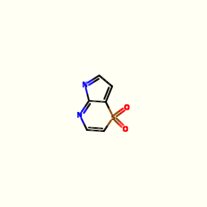 O=S1(=O)C=CN=C2N=CC=C21